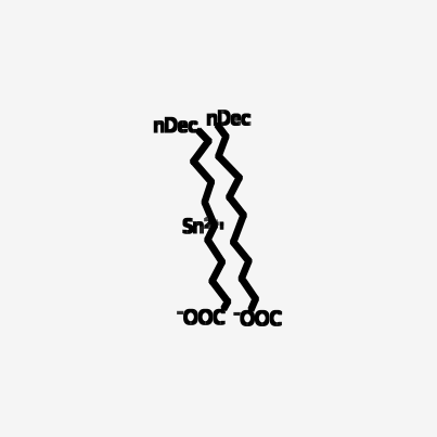 CCCCCCCCCCCCCCCCCCCC(=O)[O-].CCCCCCCCCCCCCCCCCCCC(=O)[O-].[Sn+2]